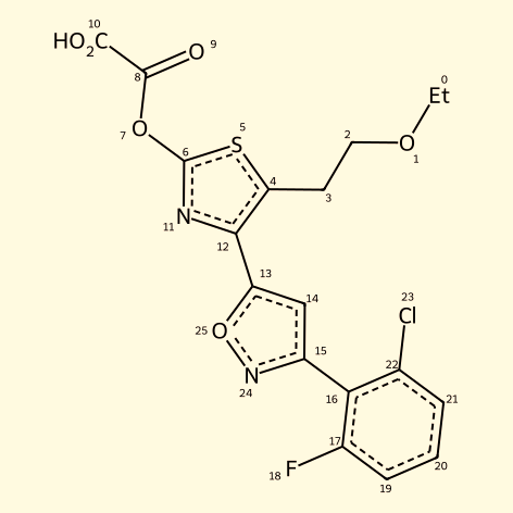 CCOCCc1sc(OC(=O)C(=O)O)nc1-c1cc(-c2c(F)cccc2Cl)no1